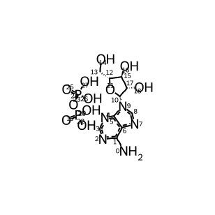 Nc1ncnc2c1ncn2[C@@H]1O[C@H](CO)[C@@H](O)[C@@H]1O.O=P(O)(O)OP(=O)(O)O